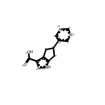 O=C(O)c1n[nH]c2c1CC(c1cncnc1)C2